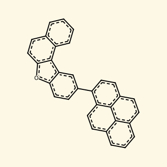 c1ccc2c(c1)ccc1oc3ccc(-c4ccc5ccc6cccc7ccc4c5c67)cc3c12